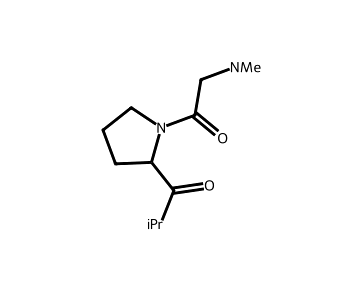 CNCC(=O)N1CCCC1C(=O)C(C)C